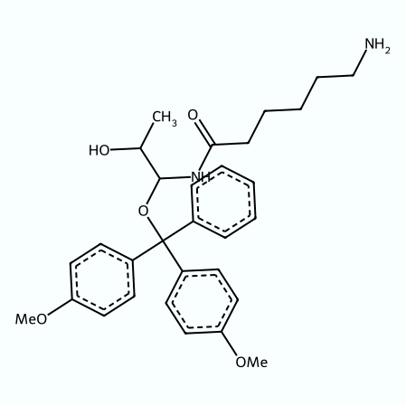 COc1ccc(C(OC(NC(=O)CCCCCN)C(C)O)(c2ccccc2)c2ccc(OC)cc2)cc1